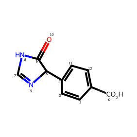 O=C(O)c1ccc(C2N=CNC2=O)cc1